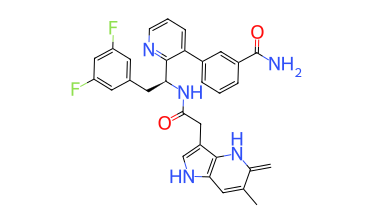 C=C1Nc2c(CC(=O)N[C@@H](Cc3cc(F)cc(F)c3)c3ncccc3-c3cccc(C(N)=O)c3)c[nH]c2C=C1C